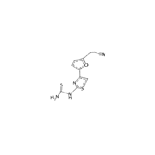 N#CCc1ccc(-c2csc(NC(N)=S)n2)o1